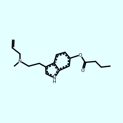 C=CCN(C)CCc1c[nH]c2cc(OC(=O)CCC)ccc12